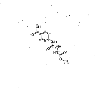 COC(=O)NNC(=O)Nc1ccc(C(=O)O)cc1